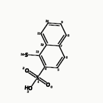 O=S(=O)(O)c1ccc2ccccc2c1[S]